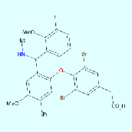 CCNC(c1cc(OC)c(C(C)C)cc1Oc1c(Br)cc(CC(=O)O)cc1Br)c1cccc(C)c1OC